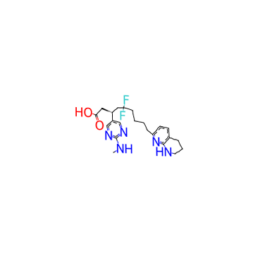 CNc1ncc([C@@H](CC(=O)O)CC(F)(F)CCCCc2ccc3c(n2)NCCC3)cn1